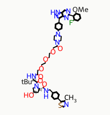 COc1cccc(F)c1-c1ncc2[nH]nc(-c3ccc(N4CCN(C(=O)COCCOCCOCC(=O)N[C@H](C(=O)N5C[C@H](O)C[C@H]5C(=O)NCc5ccc(-c6scnc6C)cc5)C(C)(C)C)CC4)cc3)c2n1